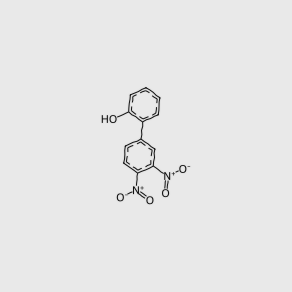 O=[N+]([O-])c1ccc(-c2ccccc2O)cc1[N+](=O)[O-]